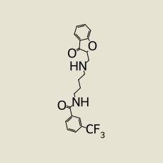 O=C(NCCCCNCC1Oc2ccccc2C1=O)c1cccc(C(F)(F)F)c1